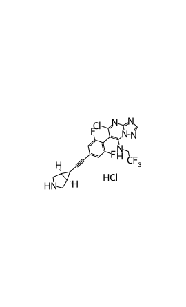 Cl.Fc1cc(C#CC2[C@H]3CNC[C@@H]23)cc(F)c1-c1c(Cl)nc2ncnn2c1NCC(F)(F)F